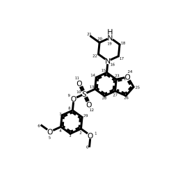 COc1cc(OC)cc(OS(=O)(=O)c2cc(N3CCNC(C)C3)c3occc3c2)c1